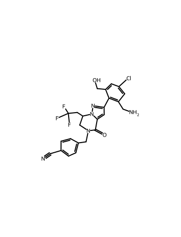 N#Cc1ccc(CN2CC(CC(F)(F)F)n3nc(-c4c(CN)cc(Cl)cc4CO)cc3C2=O)cc1